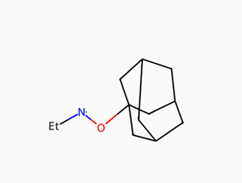 CC[N]OC12CC3CC(CC(C3)C1)C2